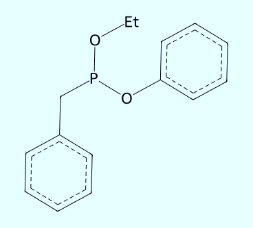 CCOP(Cc1ccccc1)Oc1ccccc1